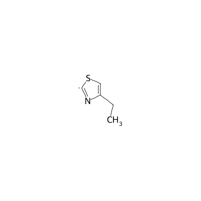 CCc1cs[c]n1